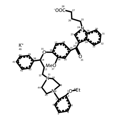 CCOc1ccccc1N1CCN(CCC(Oc2ccc(C(=O)c3cn(CCCC(=O)[O-])c4ccccc34)cc2OC)c2ccccc2)CC1.[K+]